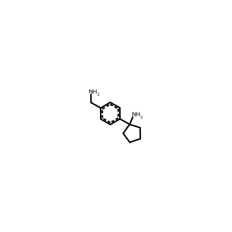 NCc1ccc(C2(N)CCCC2)cc1